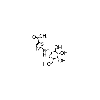 CC(=O)c1cnc(NC[C@H]2O[C@H](CO)[C@@H](O)[C@H](O)[C@@H]2O)s1